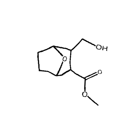 COC(=O)C1C2CCC(O2)C1CO